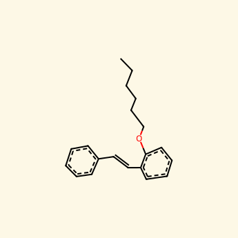 CCCCCCOc1ccccc1/C=C/c1ccccc1